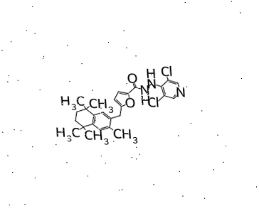 Cc1cc2c(cc1Cc1ccc(C(=O)NNc3c(Cl)cncc3Cl)o1)C(C)(C)CCC2(C)C